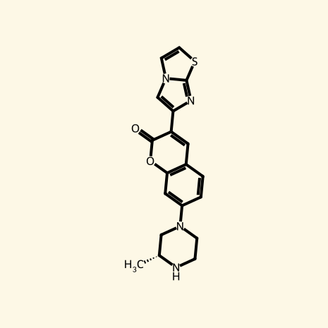 C[C@@H]1CN(c2ccc3cc(-c4cn5ccsc5n4)c(=O)oc3c2)CCN1